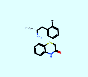 CC(=O)c1ccccc1C[C@H](N)C(=O)O.O=C1CSc2ccccc2N1